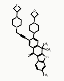 Cc1ccc2c3c([nH]c2c1)C(C)(C)c1cc(N2CCN(C4COC4)CC2)c(C#CCN2CCN(C4COC4)CC2)cc1C3=O